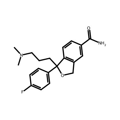 CN(C)CCCC1(c2ccc(F)cc2)OCc2cc(C(N)=O)ccc21